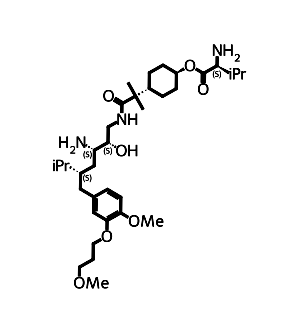 COCCCOc1cc(C[C@@H](C[C@H](N)[C@@H](O)CNC(=O)C(C)(C)[C@H]2CC[C@H](OC(=O)[C@@H](N)C(C)C)CC2)C(C)C)ccc1OC